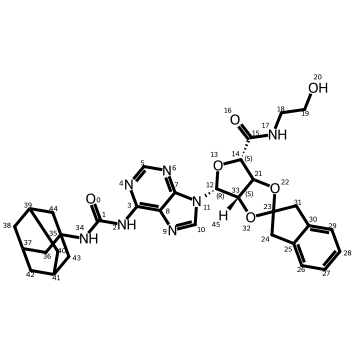 O=C(Nc1ncnc2c1ncn2[C@@H]1O[C@H](C(=O)NCCO)C2OC3(Cc4ccccc4C3)O[C@@H]21)NC12CC3CC(CC(C3)C1)C2